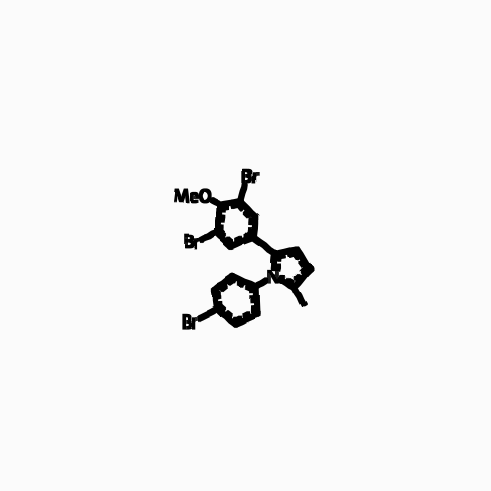 COc1c(Br)cc(-c2ccc(C)n2-c2ccc(Br)cc2)cc1Br